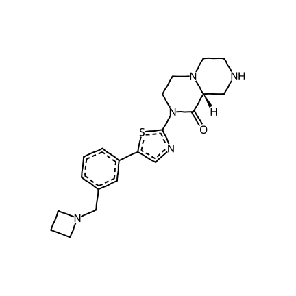 O=C1[C@H]2CNCCN2CCN1c1ncc(-c2cccc(CN3CCC3)c2)s1